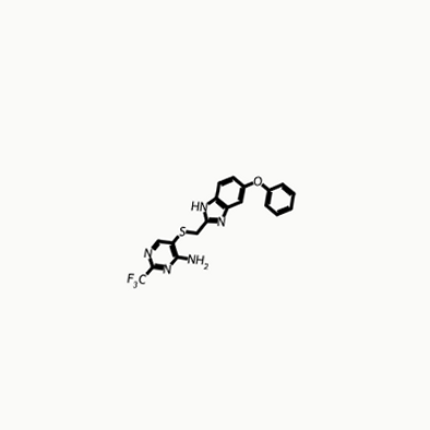 Nc1nc(C(F)(F)F)ncc1SCc1nc2cc(Oc3ccccc3)ccc2[nH]1